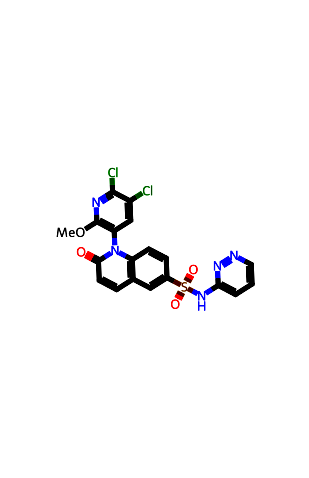 COc1nc(Cl)c(Cl)cc1-n1c(=O)ccc2cc(S(=O)(=O)Nc3cccnn3)ccc21